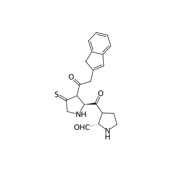 O=C[C@H]1NCCC1C(=O)[C@H]1NCC(=S)C1C(=O)CC1=Cc2ccccc2C1